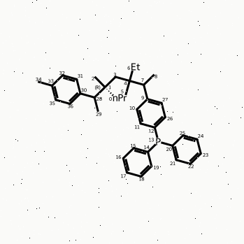 CCC[C@](C)(CC(C)(CC)C(C)c1ccc(P(c2ccccc2)c2ccccc2)cc1)C(C)c1ccc(C)cc1